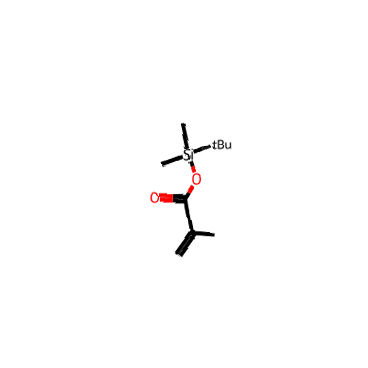 C=C(C)C(=O)O[Si](C)(C)C(C)(C)C